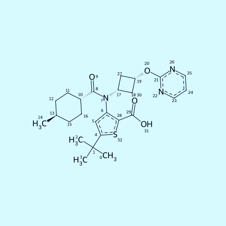 CC(C)(C)c1cc(N(C(=O)[C@H]2CC[C@H](C)CC2)[C@H]2C[C@@H](Oc3ncccn3)C2)c(C(=O)O)s1